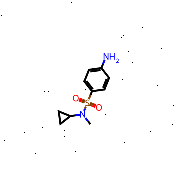 CN(C1CC1)S(=O)(=O)c1ccc(N)cc1